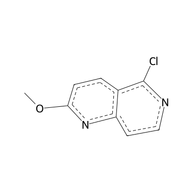 COc1ccc2c(Cl)nccc2n1